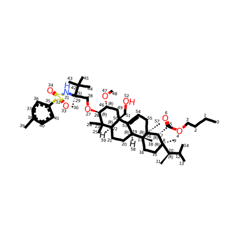 CCCCOC(=O)[C@@H]1[C@@](C)([C@H](C)C(C)C)CC[C@]2(C)[C@H]3CC[C@H]4C(C)(C)[C@@H](OC[C@@](C)(NS(=O)(=O)c5ccc(C)cc5)C(C)(C)C)[C@H](OC)C[C@]4(CO)C3=CC[C@@]12C